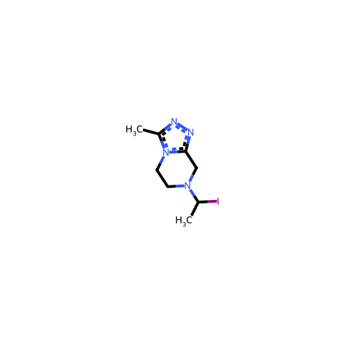 Cc1nnc2n1CCN(C(C)I)C2